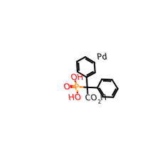 O=C(O)C(c1ccccc1)(c1ccccc1)P(=O)(O)O.[Pd]